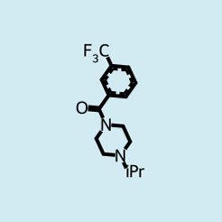 CC(C)N1CCN(C(=O)c2cccc(C(F)(F)F)c2)CC1